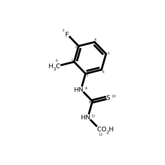 Cc1c(F)cccc1NC(=S)NC(=O)O